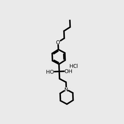 CCCCOc1ccc(C(O)(O)CCN2CCCCC2)cc1.Cl